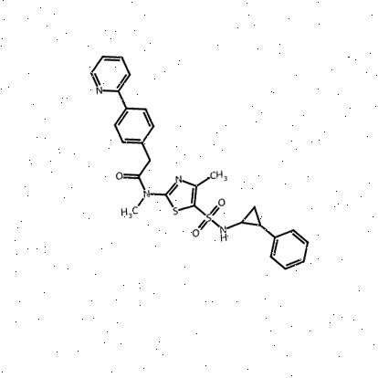 Cc1nc(N(C)C(=O)Cc2ccc(-c3ccccn3)cc2)sc1S(=O)(=O)NC1CC1c1ccccc1